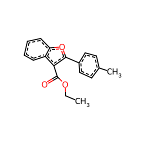 CCOC(=O)c1c(-c2ccc(C)cc2)oc2ccccc12